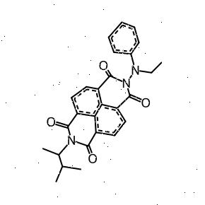 CCN(c1ccccc1)N1C(=O)c2ccc3c4c(ccc(c24)C1=O)C(=O)N(C(C)C(C)C)C3=O